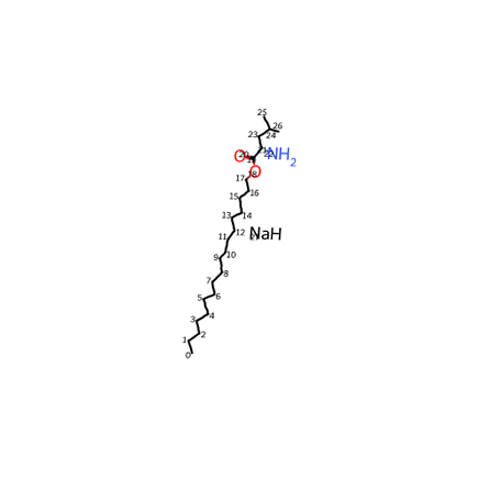 CCCCCCCCCCCCCCCCCCOC(=O)[C@@H](N)CC(C)C.[NaH]